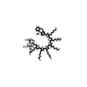 [C-]#[N+]/C(C(=O)O)=c1\s/c(=C\c2sc(-c3sc(-c4sc(-c5sc(-c6sc(-c7sc(-c8ccc9c(c8)CCc8ccccc8N9CC)cc7CCCCCC)cc6CCCCCC)cc5CCCCCC)cc4CCCCCC)cc3CCCCCC)cc2CCCCCC)c(=O)n1CC(=O)O